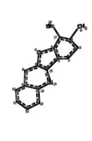 Cc1ccc2c(oc3cc4ccccc4nc32)c1C(C)(C)C